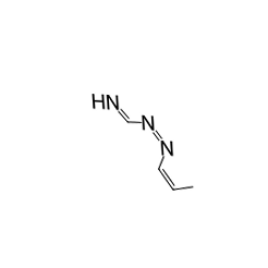 C/C=C\N=N/C=N